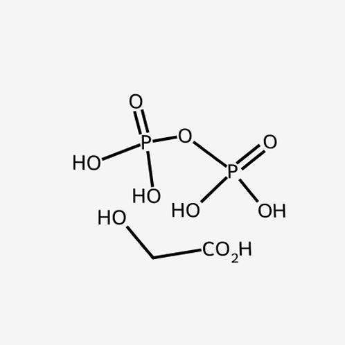 O=C(O)CO.O=P(O)(O)OP(=O)(O)O